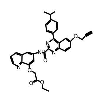 C#CCOc1ccc2nc(C(=O)Nc3cc(OCC(=O)OCC)c4ncccc4c3)nc(-c3ccc(C(C)C)cc3)c2c1